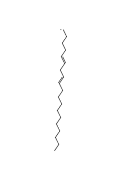 [CH2]CCCC=CCC=CCCCCCCCCCC